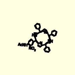 CC(=O)Nc1ccc(-c2c3nc(c(-c4ccccc4)c4ccc([nH]4)c(-c4ccccc4)c4nc(c(-c5ccccc5)c5ccc2[nH]5)C=C4)C=C3)cc1[N+](=O)[O-]